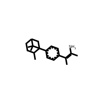 CC([SiH3])=C(C)c1ccc(C23CC(CCC2C)C3(C)C)cc1